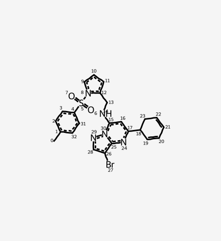 Cc1ccc(S(=O)(=O)n2cccc2CNc2cc(C3C=CC=CC3)nc3c(Br)cnn23)cc1